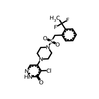 CC(F)(F)c1ccccc1CS(=O)(=O)N1CCN(c2cn[nH]c(=O)c2Cl)CC1